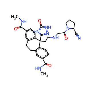 CNC(=O)c1ccc2c(c1)CCc1cc(C(=O)NC)ccc1C2(CCNCC(=O)N1CCC[C@H]1C#N)c1n[nH]c(=O)[nH]1